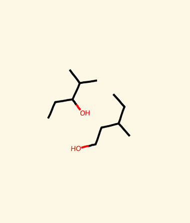 CCC(C)CCO.CCC(O)C(C)C